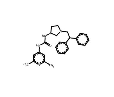 Cc1cc(NC(=O)N[C@H]2CCN(CC(c3ccccc3)c3ccccc3)C2)cc(C)n1